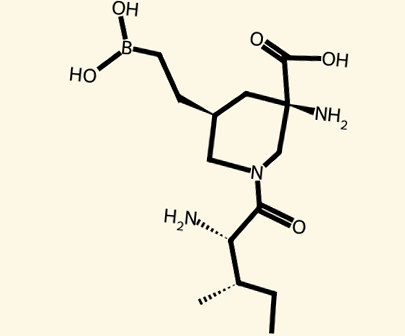 CC[C@H](C)[C@H](N)C(=O)N1C[C@@H](CCB(O)O)C[C@](N)(C(=O)O)C1